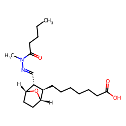 CCCCC(=O)N(C)N=C[C@@H]1[C@@H](CCCCCCC(=O)O)[C@@H]2CC[C@H]1O2